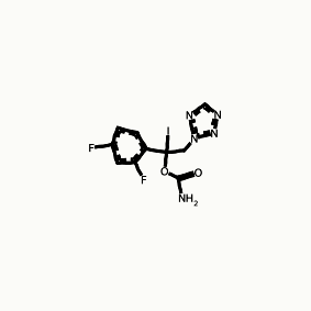 NC(=O)OC(I)(Cn1ncnn1)c1ccc(F)cc1F